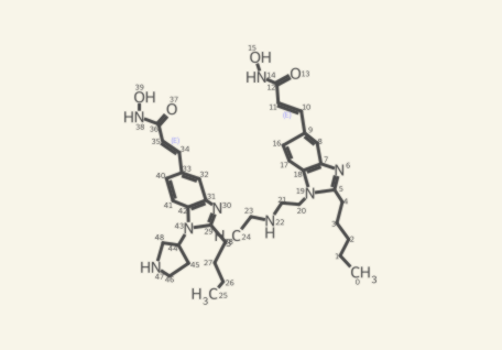 CCCCCc1nc2cc(/C=C/C(=O)NO)ccc2n1CCNCC.CCCCc1nc2cc(/C=C/C(=O)NO)ccc2n1C1CCNC1